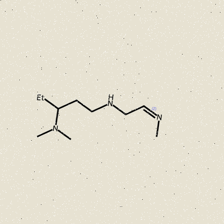 CCC(CCNC/C=N\C)N(C)C